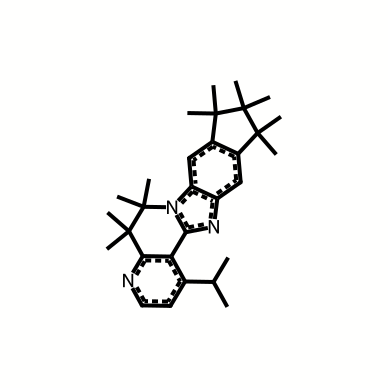 CC(C)c1ccnc2c1-c1nc3cc4c(cc3n1C(C)(C)C2(C)C)C(C)(C)C(C)(C)C4(C)C